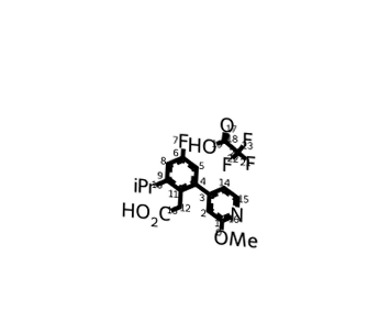 COc1cc(-c2cc(F)cc(C(C)C)c2CC(=O)O)ccn1.O=C(O)C(F)(F)F